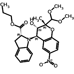 CCCOC(=O)[C@H]1Cc2ccccc2N1[C@@H]1c2cc([N+](=O)[O-])ccc2O[C@@](C)(C(OC)OC)[C@H]1O